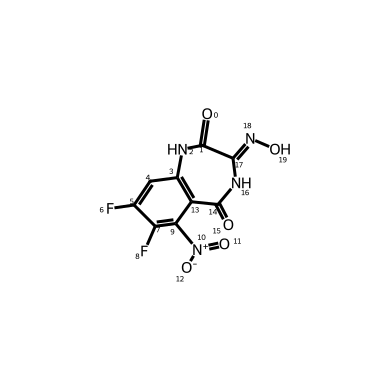 O=c1[nH]c2cc(F)c(F)c([N+](=O)[O-])c2c(=O)[nH]c1=NO